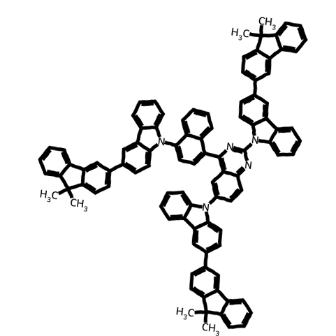 CC1(C)c2ccccc2-c2cc(-c3ccc4c(c3)c3ccccc3n4-c3ccc4nc(-n5c6ccccc6c6cc(-c7ccc8c(c7)-c7ccccc7C8(C)C)ccc65)nc(-c5ccc(-n6c7ccccc7c7cc(-c8ccc9c(c8)-c8ccccc8C9(C)C)ccc76)c6ccccc56)c4c3)ccc21